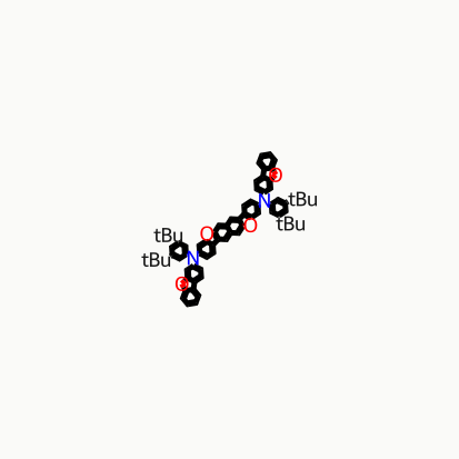 CC(C)(C)c1cc(N(c2ccc3c(c2)oc2ccccc23)c2ccc3c(c2)oc2cc4cc5c(cc4cc23)oc2cc(N(c3cc(C(C)(C)C)cc(C(C)(C)C)c3)c3ccc4c(c3)oc3ccccc34)ccc25)cc(C(C)(C)C)c1